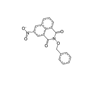 O=C1c2cccc3cc([N+](=O)[O-])cc(c23)C(=O)N1OCc1ccccc1